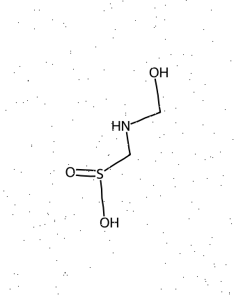 O=S(O)CNCO